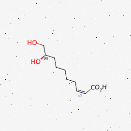 O=C(O)/C=C\CCCCC[C@@H](O)CO